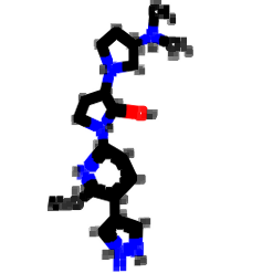 COc1nc(N2CCC(N3CC[C@@H](N(C)C)C3)C2=O)ccc1-c1cn[nH]c1